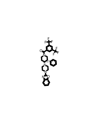 O=C(c1cc(C(F)(F)F)cc(C(F)(F)F)c1)N1CC[C@@H](N2CCN(c3nc4ccccc4o3)CC2)[C@@H](c2ccccc2)C1